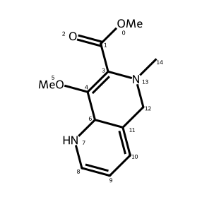 COC(=O)C1=C(OC)C2NC=CC=C2CN1C